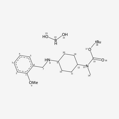 COc1ccccc1CNC1CCC(N(C)C(=O)OC(C)(C)C)CC1.OBO